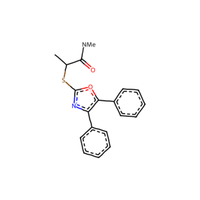 CNC(=O)C(C)Sc1nc(-c2ccccc2)c(-c2ccccc2)o1